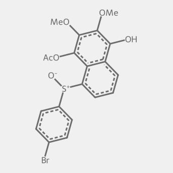 COc1c(OC)c(OC(C)=O)c2c([S+]([O-])c3ccc(Br)cc3)cccc2c1O